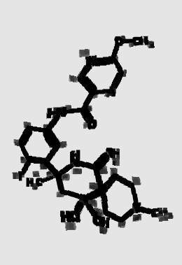 COc1cnc(C(=O)Nc2ccc(F)c([C@]3(C)CS(O)(O)C4(CCN(C)CC4)C(=N)N3)c2)cn1